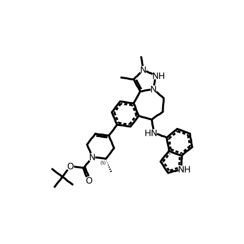 CC1=C2c3ccc(C4=CCN(C(=O)OC(C)(C)C)[C@@H](C)C4)cc3C(Nc3cccc4[nH]ccc34)CCN2NN1C